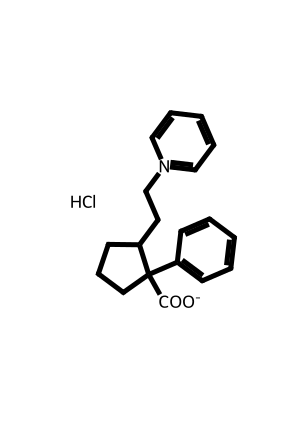 Cl.O=C([O-])C1(c2ccccc2)CCCC1CC[n+]1ccccc1